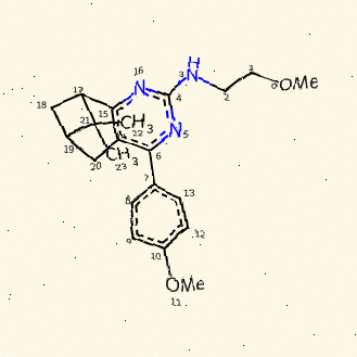 COCCNc1nc(-c2ccc(OC)cc2)c2c(n1)C1CC(C2)C1(C)C